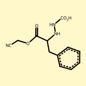 N#CCOC(=O)C(Cc1ccccc1)NNC(=O)O